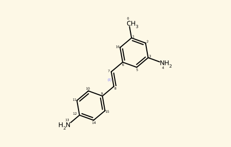 Cc1cc(N)cc(/C=C/c2ccc(N)cc2)c1